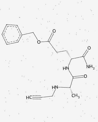 C#CCN[C@@H](C)C(=O)N[C@H](CCC(=O)OCc1ccccc1)C(N)=O